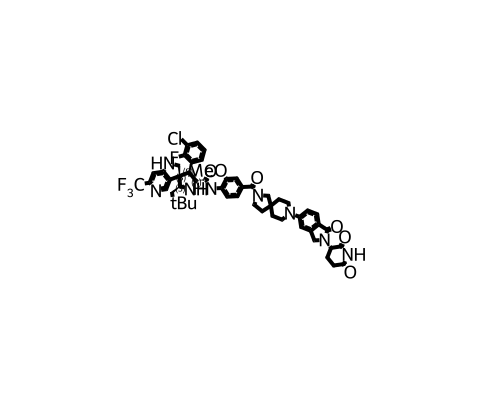 COc1cc(C(=O)N2CCC3(CCN(c4ccc5c(c4)CN(C4CCC(=O)NC4=O)C5=O)CC3)C2)ccc1NC(=O)[C@@H]1N[C@@H](CC(C)(C)C)[C@@]2(CNc3cc(C(F)(F)F)ncc32)[C@H]1c1cccc(Cl)c1F